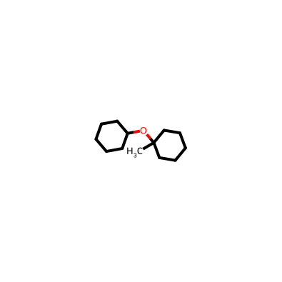 CC1(OC2CCCCC2)CCCCC1